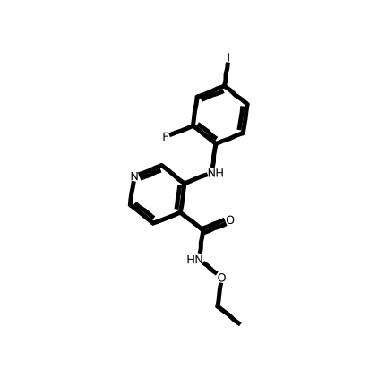 CCONC(=O)c1ccncc1Nc1ccc(I)cc1F